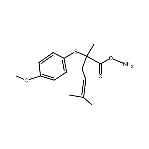 COc1ccc(SC(C)(CC=C(C)C)C(=O)ON)cc1